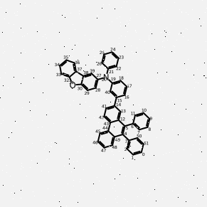 c1ccc(-c2c(-c3ccccc3)c3cc(-c4cccc(N(c5ccccc5)c5ccc6oc7ccccc7c6c5)c4)ccc3c3ccccc23)cc1